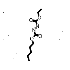 CCCCCOC(=O)N=NC(=O)OCC